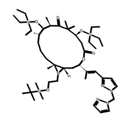 CC[Si](CC)(CC)OC1[C@@H](C)CCC[C@]2(C)[C@H](C[C@@H](/C(C)=C/c3ccn(Cn4cccn4)n3)OC(=O)C[C@H](O[Si](CC)(CC)CC)C(C)(C)C(=O)[C@@H]1C)N2CCO[Si](C)(C)C(C)(C)C